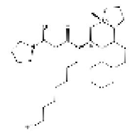 C[C@@]12CCCC1C1CCC3=CCCCC3=C1[C@@H](C(CCCCCCCO)C(=O)CC(=O)N1CCCC1)C2